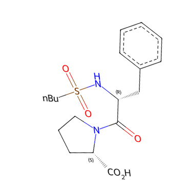 CCCCS(=O)(=O)N[C@H](Cc1ccccc1)C(=O)N1CCC[C@H]1C(=O)O